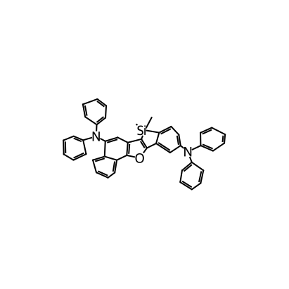 C[Si]1(C)c2ccc(N(c3ccccc3)c3ccccc3)cc2-c2oc3c(cc(N(c4ccccc4)c4ccccc4)c4ccccc43)c21